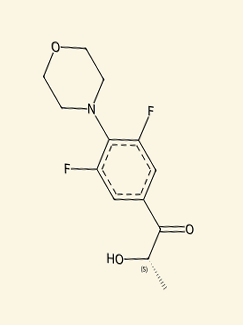 C[C@H](O)C(=O)c1cc(F)c(N2CCOCC2)c(F)c1